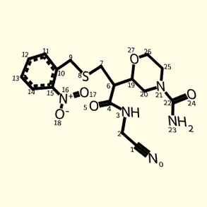 N#CCNC(=O)C(CSCc1ccccc1[N+](=O)[O-])C1CN(C(N)=O)CCO1